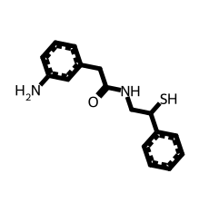 Nc1cccc(CC(=O)NCC(S)c2ccccc2)c1